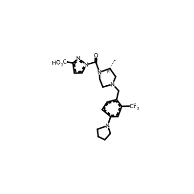 C[C@@H]1CN(Cc2ccc(N3CCCC3)cc2C(F)(F)F)CCN1C(=O)n1ccc(C(=O)O)n1